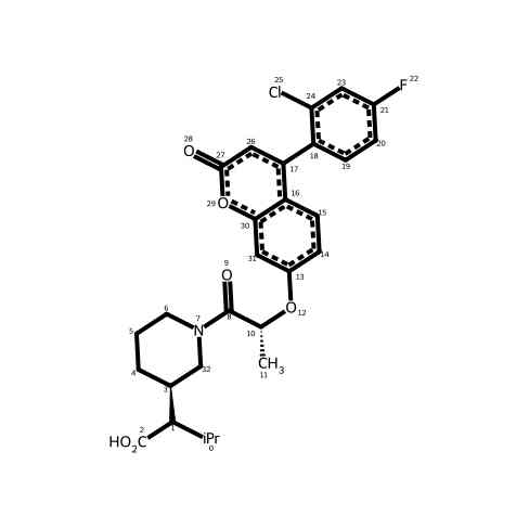 CC(C)C(C(=O)O)[C@H]1CCCN(C(=O)[C@@H](C)Oc2ccc3c(-c4ccc(F)cc4Cl)cc(=O)oc3c2)C1